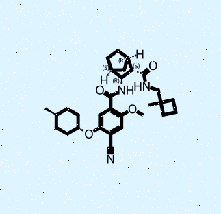 COc1cc(C#N)c(O[C@H]2CC[C@H](C)CC2)cc1C(=O)N[C@@H]1[C@H]2CC[C@H](C2)[C@@H]1C(=O)NCC1(C)CCC1